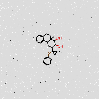 CC12CCc3ccccc3C1CC(C1(Sc3ccccc3)CC1)C(O)C2O